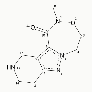 CN1O[CH]Cn2nc3c(c2C1=O)CNCC3